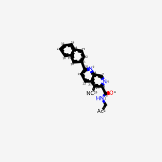 CC(=O)CNC(=O)c1ncc2nc(-c3ccc4ccccc4c3)ccc2c1C#N